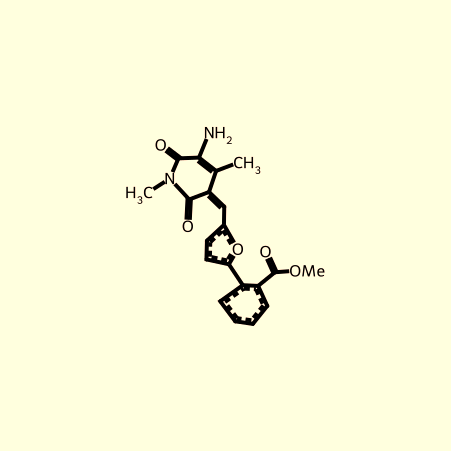 COC(=O)c1ccccc1-c1ccc(/C=C2\C(=O)N(C)C(=O)C(N)=C2C)o1